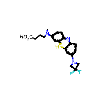 CN(CCCC(=O)O)c1ccc2c(c1)=[SH]c1cc(N3CC(F)(F)C3)ccc1N=2